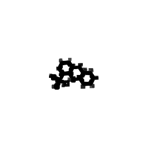 O=S(=O)(Cl)c1cccc2c1Sc1ccccc1C2